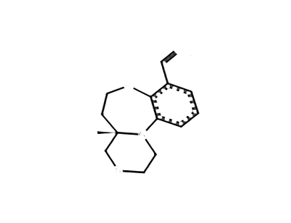 C=Cc1cccc2c1OCC[C@H]1CNCCN21